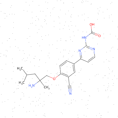 CC(C)CC(C)(N)COc1ccc(-c2ccnc(NC(=O)O)n2)cc1C#N